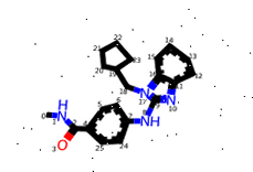 CNC(=O)c1ccc(Nc2nc3ccccc3n2CC2CCCC2)cc1